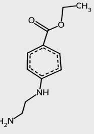 CCOC(=O)c1ccc(NCCN)cc1